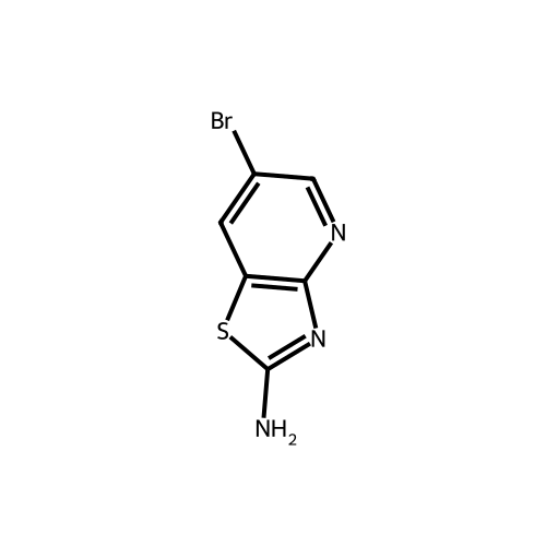 Nc1nc2ncc(Br)cc2s1